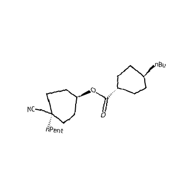 CCCCC[C@]1(C#N)CC[C@@H](OC(=O)[C@H]2CC[C@H](CCCC)CC2)CC1